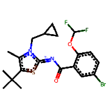 Cc1c(C(C)(C)C)s/c(=N\C(=O)c2cc(Br)ccc2OC(F)F)n1CC1CC1